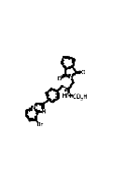 O=C(O)N[C@@H](Cc1ccc(-c2cn3cccc(Br)c3n2)cc1)CN1C(=O)c2ccccc2C1=O